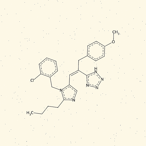 CCCCc1ncc(C=C(Cc2ccc(OC)cc2)c2nnn[nH]2)n1Cc1ccccc1Cl